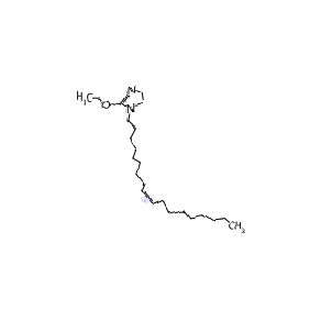 CCCCCCCC/C=C\CCCCCCCCN1CCN=C1OCC